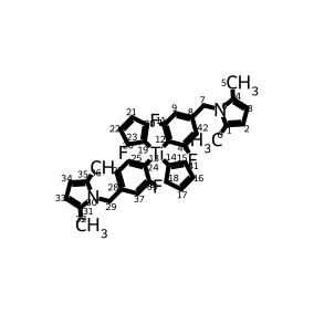 Cc1ccc(C)n1Cc1cc(F)[c]([Ti]([C]2=CC=CC2)([C]2=CC=CC2)[c]2c(F)cc(Cn3c(C)ccc3C)cc2F)c(F)c1